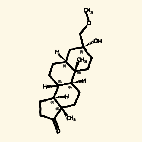 COC[C@@]1(O)CC[C@@]2(C)[C@@H](CC[C@@H]3[C@@H]2CC[C@]2(C)C(=O)CC[C@@H]32)C1